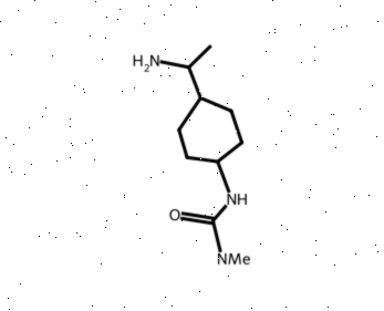 CNC(=O)NC1CCC(C(C)N)CC1